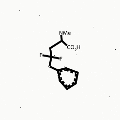 CNC(CC(F)(F)Cc1ccccc1)C(=O)O